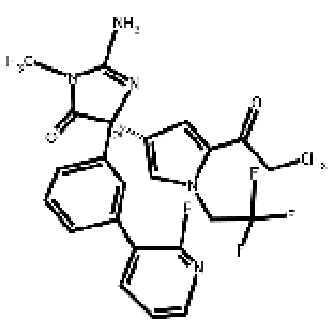 CCC(=O)c1cc([C@@]2(c3cccc(-c4cccnc4F)c3)N=C(N)N(C)C2=O)cn1CC(F)(F)F